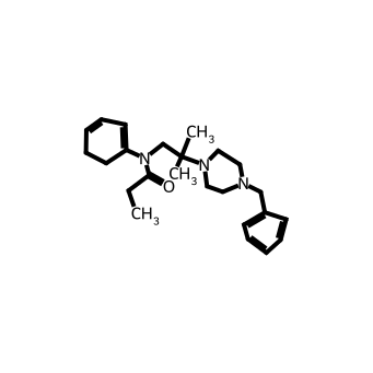 CCC(=O)N(CC(C)(C)N1CCN(Cc2ccccc2)CC1)C1=CC=CCC1